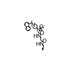 C#CCNC(=O)CCNC(=O)CN(C1CCN(C(C)c2cccc3ccccc23)CC1)[S+](C)[O-]